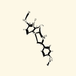 COc1ccc(-c2cn3c(n2)sc2nc(OC)ccc23)cc1